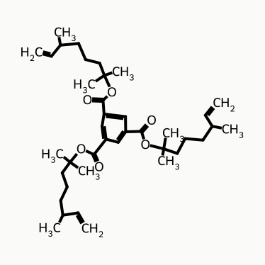 C=CC(C)CCCC(C)(C)OC(=O)c1cc(C(=O)OC(C)(C)CCCC(C)C=C)cc(C(=O)OC(C)(C)CCCC(C)C=C)c1